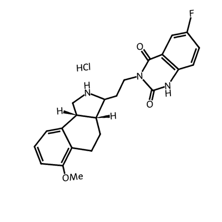 COc1cccc2c1CC[C@H]1C(CCn3c(=O)[nH]c4ccc(F)cc4c3=O)NC[C@@H]21.Cl